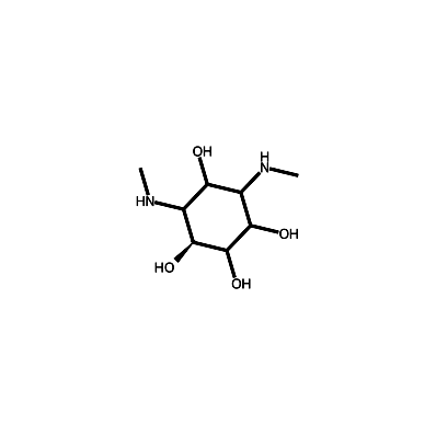 CNC1C(O)C(O)[C@@H](O)C(NC)C1O